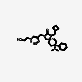 CN(C)[C@]1(c2ccccc2)CC[C@]2(CC1)CN(C/C(=C/NCCO)N=N)C(=O)N2CC1CCC1